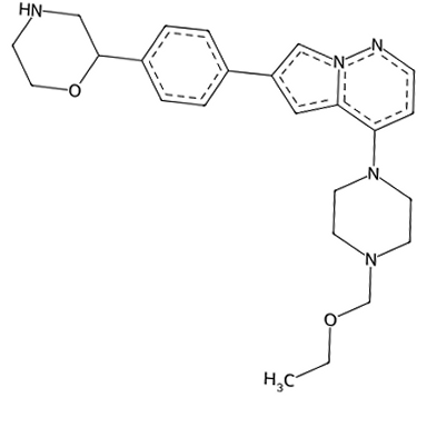 CCOCN1CCN(c2ccnn3cc(-c4ccc(C5CNCCO5)cc4)cc23)CC1